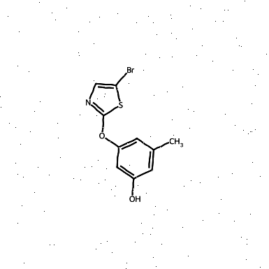 Cc1cc(O)cc(Oc2ncc(Br)s2)c1